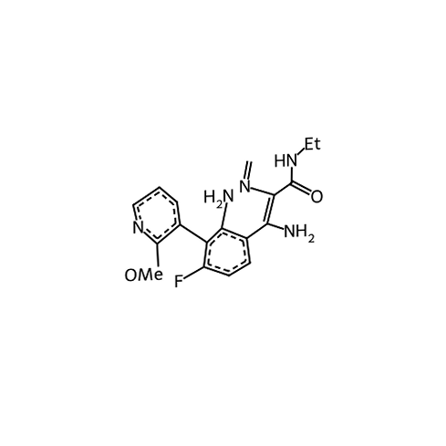 C=N/C(C(=O)NCC)=C(/N)c1ccc(F)c(-c2cccnc2OC)c1N